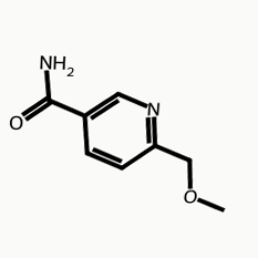 COCc1ccc(C(N)=O)cn1